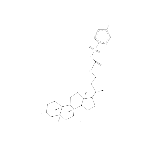 CC[C@H]1[C@@H](O)[C@@H]2[C@H](CC[C@]3(C)C([C@H](C)CCNC(=O)NS(=O)(=O)c4ccc(C(C)(C)C)cc4)CC[C@@H]23)[C@@]2(C)CC[C@@H](O)C[C@@H]12